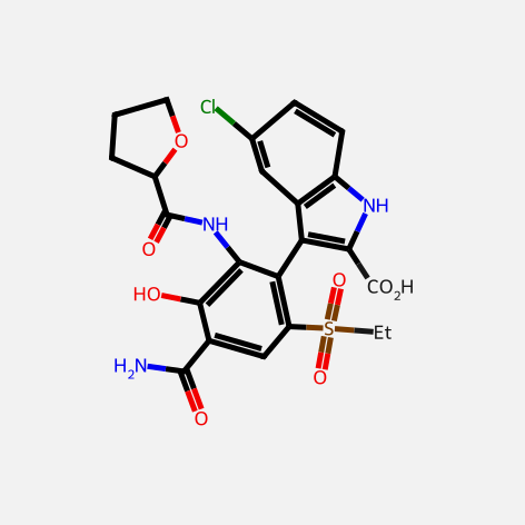 CCS(=O)(=O)c1cc(C(N)=O)c(O)c(NC(=O)C2CCCO2)c1-c1c(C(=O)O)[nH]c2ccc(Cl)cc12